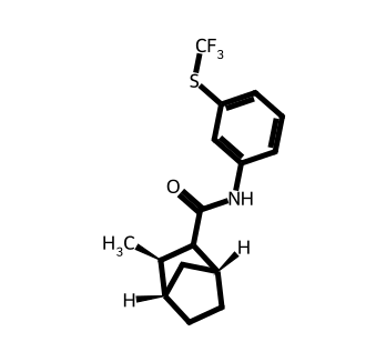 C[C@H]1C(C(=O)Nc2cccc(SC(F)(F)F)c2)[C@@H]2CC[C@H]1C2